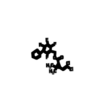 CC1(C)C(C=C(Cl)Cl)C1C(=O)OCc1c(F)c(F)c(F)c(-c2ccccc2)c1F